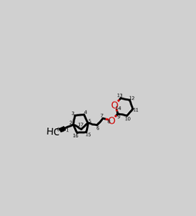 C#CC12CCC(CCOC3CCCCO3)(CC1)C2